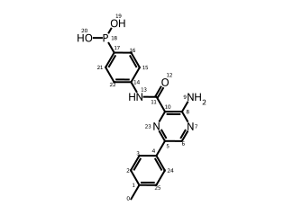 Cc1ccc(-c2cnc(N)c(C(=O)Nc3ccc(P(O)O)cc3)n2)cc1